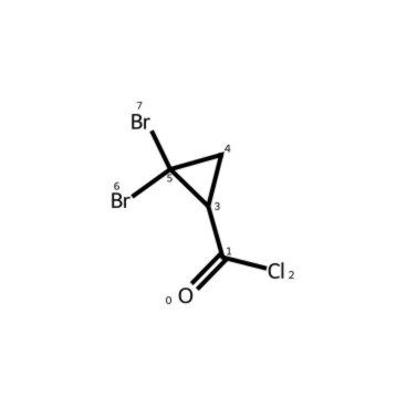 O=C(Cl)C1CC1(Br)Br